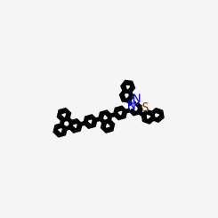 c1ccc2c(c1)ccc1c2nc2c3sc4c5ccccc5ccc4c3cc(-c3ccc(-c4ccc(-c5ccc(-c6ccc7c8ccccc8c8ccccc8c7c6)cc5)c5ccccc45)cc3)n12